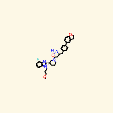 COCCCn1c([C@@H]2CCCN(C(=O)C[C@H](N)Cc3ccc(-c4ccc5c(c4)CCO5)cc3)C2)nc2c(F)cccc21